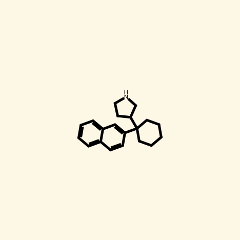 c1ccc2cc(C3(C4CCNC4)CCCCC3)ccc2c1